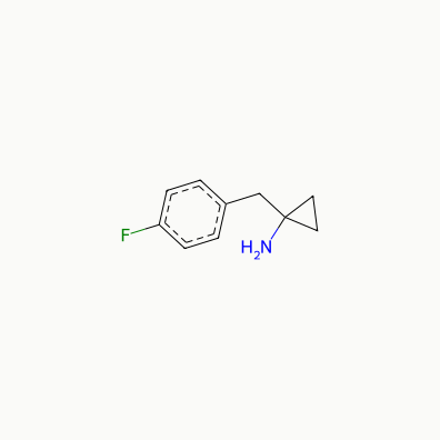 NC1(Cc2ccc(F)cc2)CC1